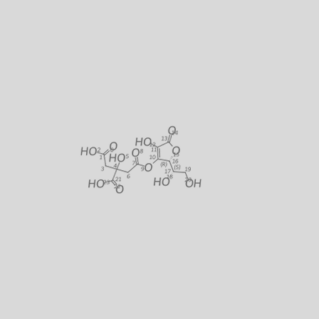 O=C(O)CC(O)(CC(=O)OC1=C(O)C(=O)O[C@@H]1[C@@H](O)CO)C(=O)O